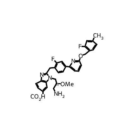 CO[C@@H](CN)Cn1c(Cc2ccc(-c3cccc(OCc4ccc(C)cc4F)n3)cc2F)nc2ccc(C(=O)O)cc21